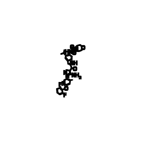 Cc1cc(Oc2c(F)cccc2F)ncc1-n1ncc(C(=O)c2cc3cc(C(C)C)c(NS(=O)(=O)N4C5CCC4COC5)cc3[nH]2)c1N